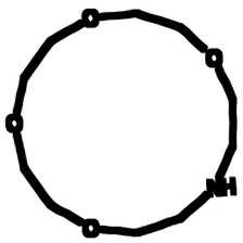 C1COCCOCCOCCOCCN1